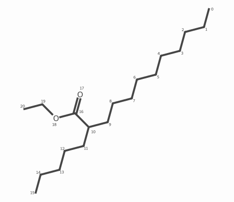 CCCCCCCCCCC(CCCCC)C(=O)OCC